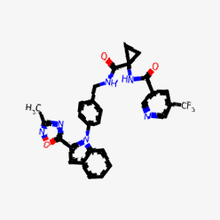 Cc1noc(-c2cc3ccccc3n2-c2ccc(CNC(=O)C3(NC(=O)c4cncc(C(F)(F)F)c4)CC3)cc2)n1